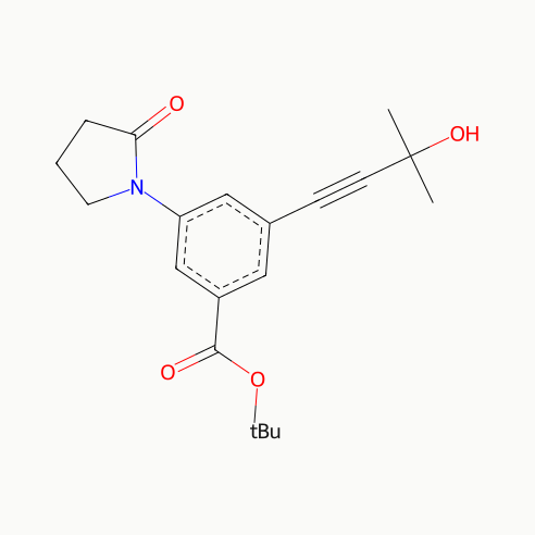 CC(C)(O)C#Cc1cc(C(=O)OC(C)(C)C)cc(N2CCCC2=O)c1